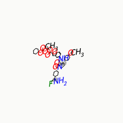 COC1CCC([C@@H]2CCN(C(=O)[C@H]3CC[C@H]([C@H](N)CF)CC3)[C@@H]2C(=O)Nc2ccc3oc(C(=O)OC(C)OC(=O)OC4CCCCC4)cc3c2)CC1